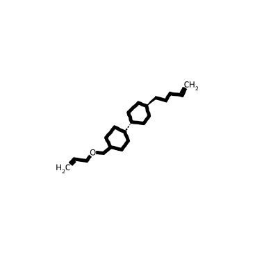 C=CCCC[C@H]1CC[C@H](C2CCC(COCC=C)CC2)CC1